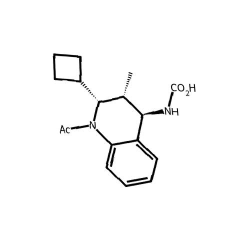 CC(=O)N1c2ccccc2[C@H](NC(=O)O)[C@@H](C)[C@H]1C1CCC1